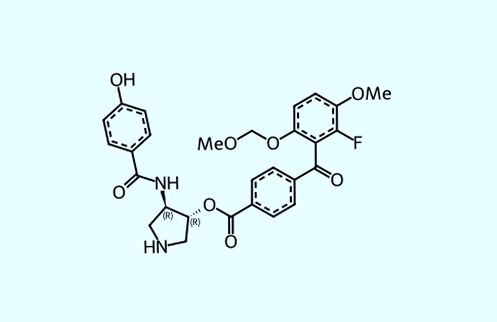 COCOc1ccc(OC)c(F)c1C(=O)c1ccc(C(=O)O[C@@H]2CNC[C@H]2NC(=O)c2ccc(O)cc2)cc1